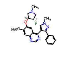 COc1cc2ncnc(-c3cn(C)nc3-c3ccccc3)c2cc1O[C@H]1CN(C)C[C@@H]1F